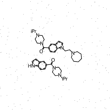 CC(C)N1CCN(C(=O)c2ccc3[nH]ccc3c2)CC1.CC(C)N1CCN(C(=O)c2ccc3c(ccn3CCN3CCCCCC3)c2)CC1